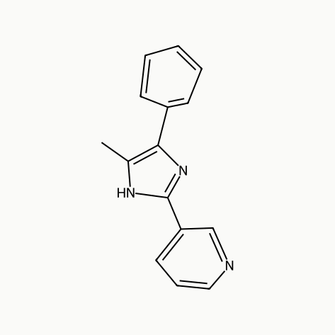 Cc1[nH]c(-c2cccnc2)nc1-c1ccccc1